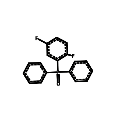 O=P(c1ccccc1)(c1ccccc1)c1cc(F)ccc1F